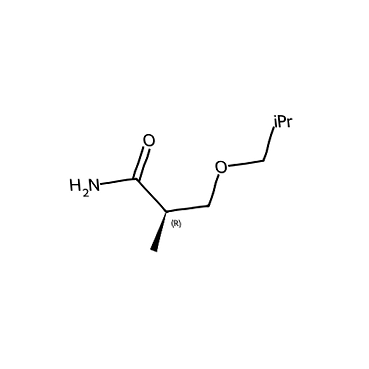 CC(C)COC[C@@H](C)C(N)=O